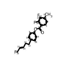 Cc1ccc(C(=O)Oc2ccc(CC/C=C/CF)cc2)c(F)c1F